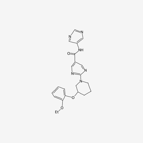 CCOc1ccccc1OC1CCCN(c2ncc(C(=O)Nc3cncnc3)cn2)C1